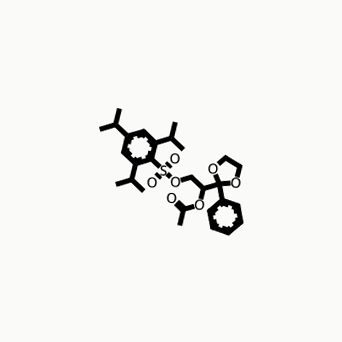 CC(=O)OC(COS(=O)(=O)c1c(C(C)C)cc(C(C)C)cc1C(C)C)C1(c2ccccc2)OCCO1